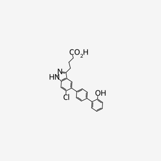 O=C(O)CCCc1n[nH]c2cc(Cl)c(-c3ccc(-c4ccccc4O)cc3)cc12